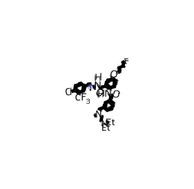 CCN(CC)CCN(C)Cc1cccc(C(=O)Nc2ccc(OCCCCF)cc2C(=O)N/N=C/c2ccc(Cl)c(C(F)(F)F)c2)c1